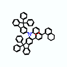 c1ccc(N(c2ccc3c(c2)C(c2ccccc2)(c2ccccc2)c2ccccc2-3)c2cc3c(cc2-c2ccc(-c4cccc5c4CCCC5)cc2)-c2ccccc2C3(c2ccccc2)c2ccccc2)cc1